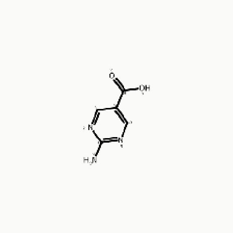 Nc1ncc(C(=O)O)cn1